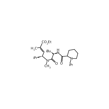 CCOC(=O)/C(C)=C/[C@H](C(C)C)N(C)C(=O)[C@H](NC(=O)C1CCCCN1C(C)C)[C@H](C)CC